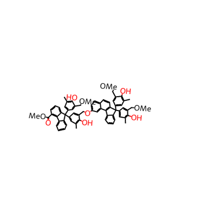 COCc1cc(C2(c3cc(C)c(O)c(COc4ccc5ccc6c(c5c4)-c4ccccc4C6(c4cc(C)c(O)c(COC)c4)c4cc(C)c(O)c(COC)c4)c3)c3ccccc3-c3c(C(=O)OC)cccc32)cc(C)c1O